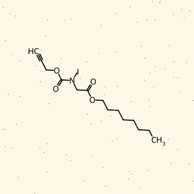 C#CCOC(=O)N(I)CC(=O)OCCCCCCCC